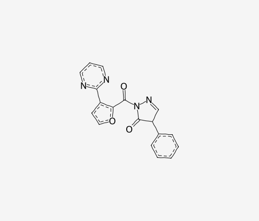 O=C(c1occc1-c1ncccn1)N1N=CC(c2ccccc2)C1=O